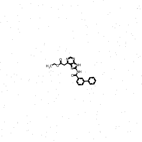 CCOC(=O)Cc1ncnc2[nH]c(NC(=O)c3cccc(-c4ccccc4)c3)nc12